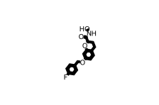 O=C(NO)C1CCc2ccc(OCc3ccc(F)cc3)cc2O1